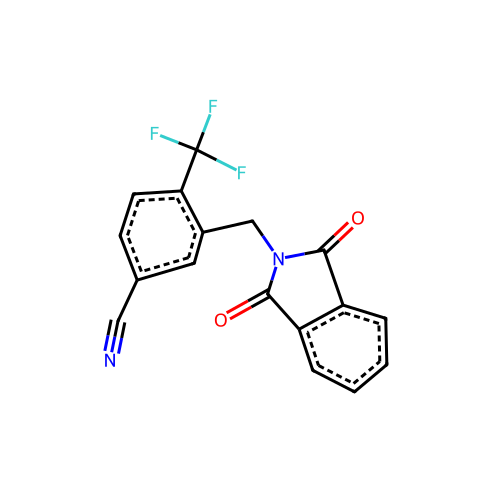 N#Cc1ccc(C(F)(F)F)c(CN2C(=O)c3ccccc3C2=O)c1